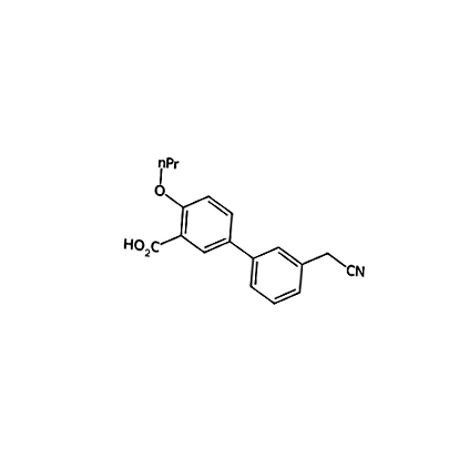 CCCOc1ccc(-c2cccc(CC#N)c2)cc1C(=O)O